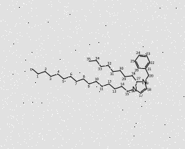 CCCCCCCCCCCCCCCCN1C=CN(Cc2ccccc2)C1CCCCCCCC